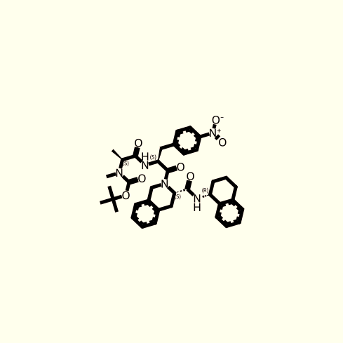 C[C@@H](C(=O)N[C@@H](Cc1ccc([N+](=O)[O-])cc1)C(=O)N1Cc2ccccc2C[C@H]1C(=O)N[C@@H]1CCCc2ccccc21)N(C)C(=O)OC(C)(C)C